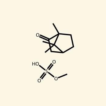 CC12CCC(CC1=O)C2(C)C.COS(=O)(=O)O